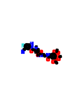 CC(=O)Oc1cc(C(=O)NCCNS(=O)(=O)c2cc(C(=O)Nc3ccc(F)c(C#N)c3)n(C)c2)cc(OC(C)=O)c1OC(C)=O